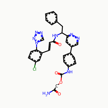 NC(=O)COC(=O)Nc1ccc(-c2cnnc(C(Cc3ccccc3)NC(=O)/C=C/c3cc(Cl)ccc3-n3cnnn3)c2)cc1